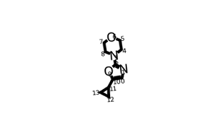 c1nc(N2CCOCC2)oc1C1CC1